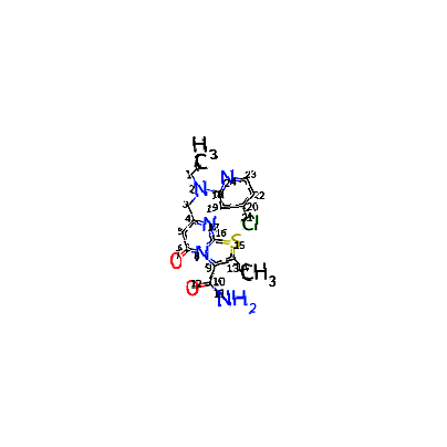 CCN(Cc1cc(=O)n2c(C(N)=O)c(C)sc2n1)c1cc(Cl)ccn1